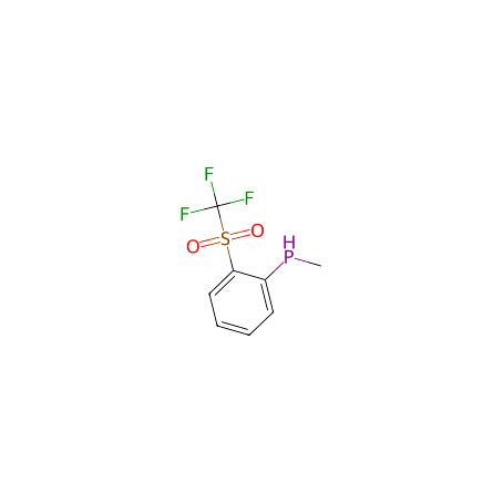 CPc1ccccc1S(=O)(=O)C(F)(F)F